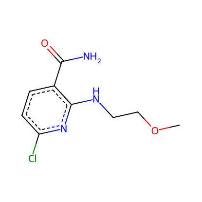 COCCNc1nc(Cl)ccc1C(N)=O